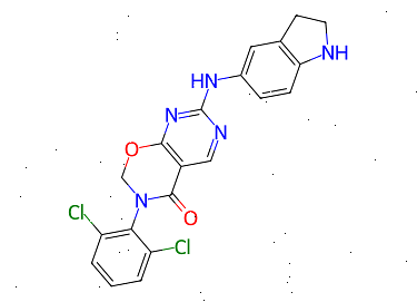 O=C1c2cnc(Nc3ccc4c(c3)CCN4)nc2OCN1c1c(Cl)cccc1Cl